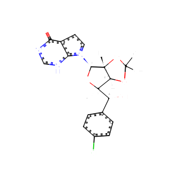 CC1(C)O[C@H]2[C@H](n3ccc4c(=O)nc[nH]c43)O[C@](C)([C@H](O)c3ccc(Cl)cc3)[C@@H]2O1